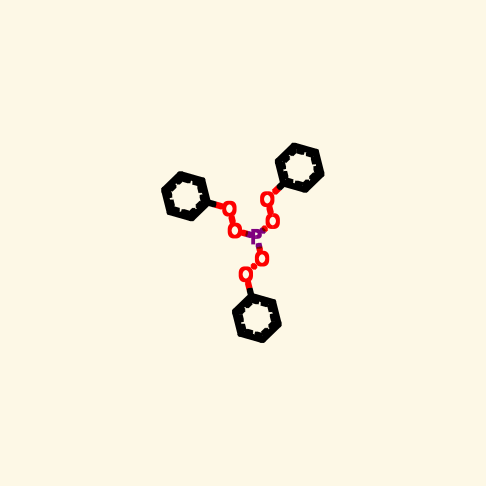 c1ccc(OOP(OOc2ccccc2)OOc2ccccc2)cc1